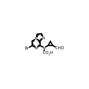 O=CC1CC1N(C(=O)O)c1nc(Br)cn2ccnc12